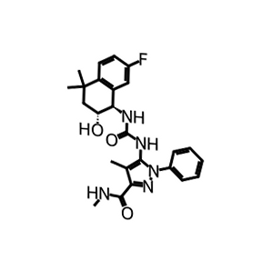 CNC(=O)c1nn(-c2ccccc2)c(NC(=O)N[C@@H]2c3cc(F)ccc3C(C)(C)C[C@H]2O)c1C